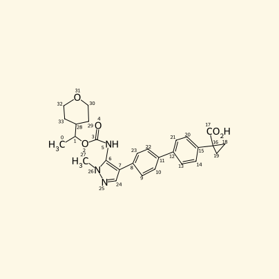 CC(OC(=O)Nc1c(-c2ccc(-c3ccc(C4(C(=O)O)CC4)cc3)cc2)cnn1C)C1CCOCC1